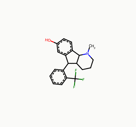 CN1CCCC2C(c3ccccc3C(F)(F)F)c3cc(O)ccc3C21